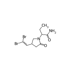 CCC(C(N)=O)N1CC(C=C(Br)Br)CC1=O